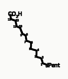 CCCC(C)CCCCCCCCCCCCCC(=O)O